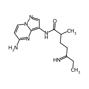 CCC(=N)CCC(C)C(=O)Nc1cnn2ccc(N)nc12